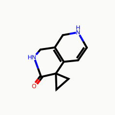 O=C1NCC2=C(C=CNC2)C12CC2